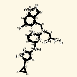 CC(O)CN(Cc1cc(F)cc2[nH]ncc12)c1nccc(Nc2cc(C3CC3)[nH]n2)n1